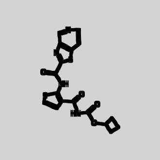 O=C(NC(=O)c1ccsc1NC(=O)c1nc2cnccc2s1)OC1CCC1